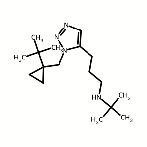 CC(C)(C)NCCCc1cnnn1CC1(C(C)(C)C)CC1